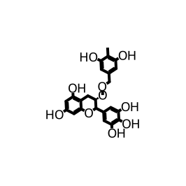 Cc1c(O)cc(COO[C@@H]2Cc3c(O)cc(O)cc3OC2c2cc(O)c(O)c(O)c2)cc1O